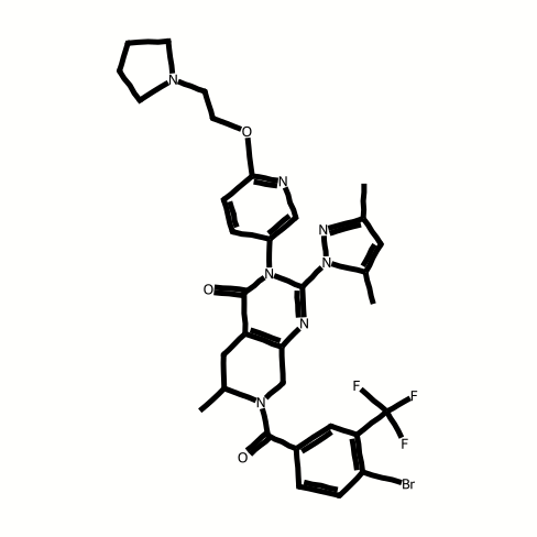 Cc1cc(C)n(-c2nc3c(c(=O)n2-c2ccc(OCCN4CCCC4)nc2)CC(C)N(C(=O)c2ccc(Br)c(C(F)(F)F)c2)C3)n1